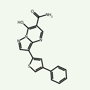 NC(=O)c1cnc2c(-c3cc(-c4ccccc4)cs3)cnn2c1O